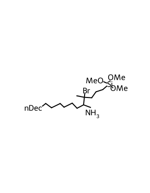 CCCCCCCCCCCCCCCCC(C)C(C)(Br)CCC[Si](OC)(OC)OC.N